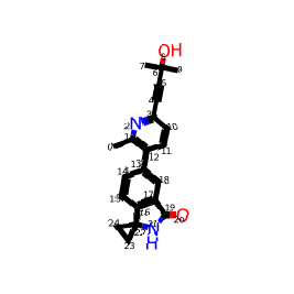 Cc1nc(C#CC(C)(C)O)ccc1-c1ccc2c(c1)C(=O)NC21CC1